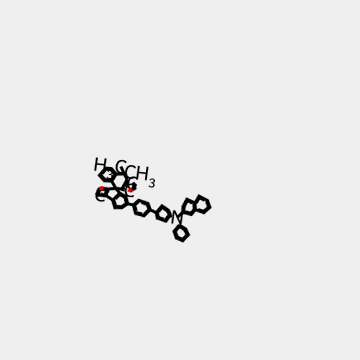 CC1(C)c2ccccc2C2(c3ccccc3-c3ccc(-c4ccc(-c5ccc(N(c6ccccc6)c6ccc7ccccc7c6)cc5)cc4)cc32)c2ccccc21